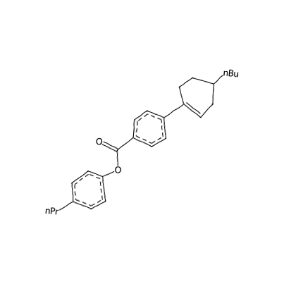 CCCCC1CC=C(c2ccc(C(=O)Oc3ccc(CCC)cc3)cc2)CC1